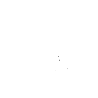 CCCCC#Cc1cncc(OC[C@@H]2CCN2)c1